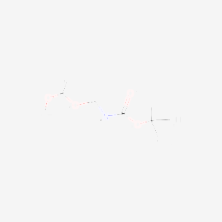 COC(C)OC[N]C(=O)OC(C)(C)C